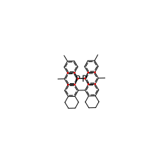 Cc1ccc(P(c2ccc(C)cc2)c2ccc3c(c2-c2c(P(c4ccc(C)cc4)c4ccc(C)cc4)ccc4c2CCCC4)CCCC3)cc1